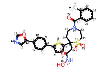 O=C(CC1(c2ccc(-c3ccc(-c4cnco4)cc3)s2)CCN(C(=O)c2ccccc2C(F)(F)F)CCS1(=O)=O)NO